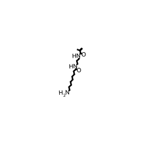 C=C(C)C(=O)NCCCNC(=O)CCCCCCCCN